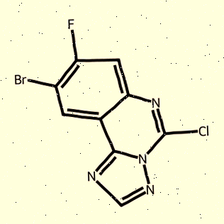 Fc1cc2nc(Cl)n3ncnc3c2cc1Br